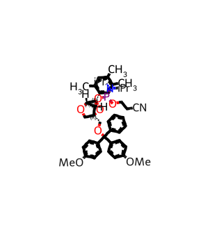 COc1ccc(C(OC[C@@]23CO[C@H]([C@H](c4cc(C)c(C)cc4C)O2)[C@@H]3OP(OCCC#N)N(C(C)C)C(C)C)(c2ccccc2)c2ccc(OC)cc2)cc1